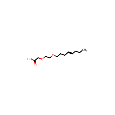 CCC/C=C/CCCOCCOCC(=O)O